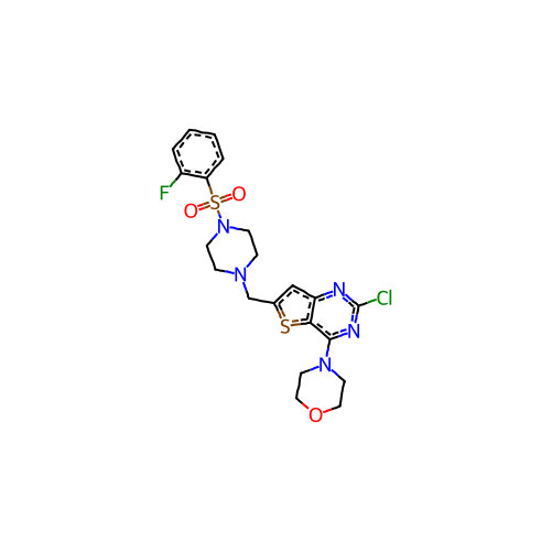 O=S(=O)(c1ccccc1F)N1CCN(Cc2cc3nc(Cl)nc(N4CCOCC4)c3s2)CC1